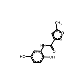 Cc1cc(C(=O)Nc2cc(O)ccc2O)no1